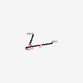 CCCC/C=C\CC(OC(=O)CCCCCCC/C=C\CCCCCCCC)C(O)CCCCCCCC(=O)OCCCCCCCC/C=C\CCCCCCCC